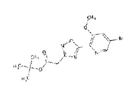 COc1cc(Br)cnc1-c1nc(CC(=O)OC(C)(C)C)no1